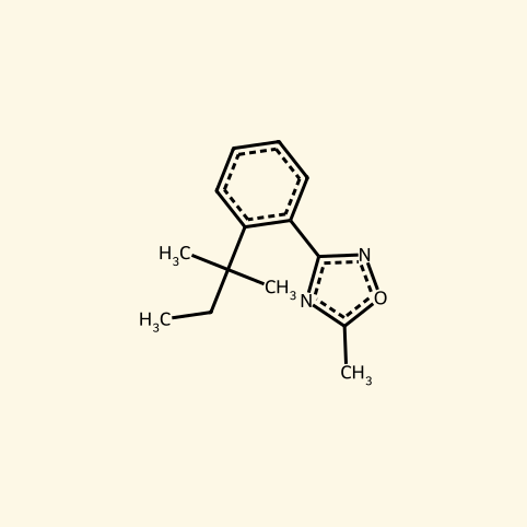 CCC(C)(C)c1ccccc1-c1noc(C)n1